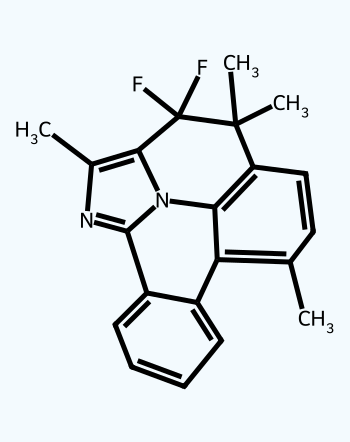 Cc1nc2c3ccccc3c3c(C)ccc4c3n2c1C(F)(F)C4(C)C